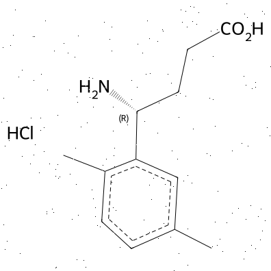 Cc1ccc(C)c([C@H](N)CCC(=O)O)c1.Cl